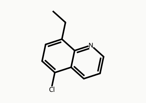 CCc1ccc(Cl)c2cccnc12